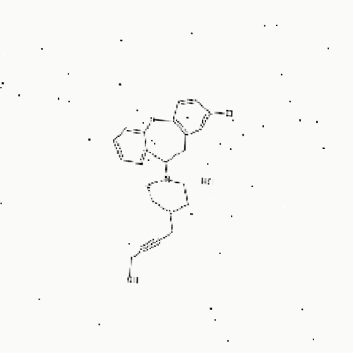 Cl.OCC#CCN1CCN(C2Cc3cc(Cl)ccc3Oc3ccccc32)CC1